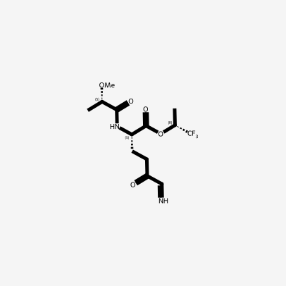 CO[C@@H](C)C(=O)N[C@@H](CCC(=O)C=N)C(=O)O[C@H](C)C(F)(F)F